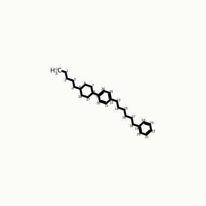 CCCCCC1CCC(c2ccc(CCCCCCc3ccccc3)cc2)CC1